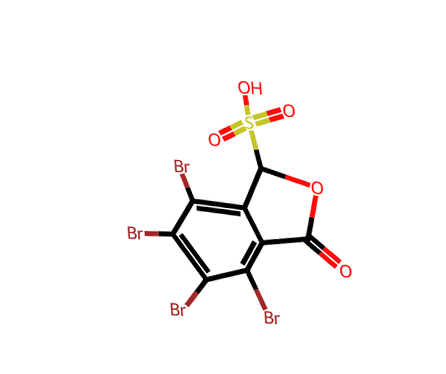 O=C1OC(S(=O)(=O)O)c2c(Br)c(Br)c(Br)c(Br)c21